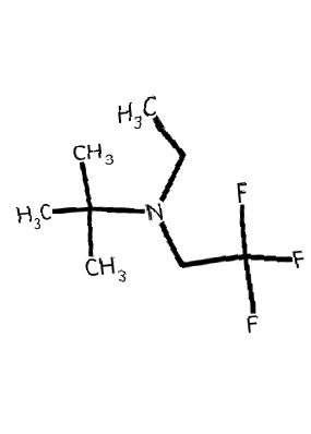 CCN(CC(F)(F)F)C(C)(C)C